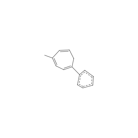 CC1=CC=C(c2ccccc2)CC=C1